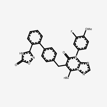 CCCCc1c(Cc2ccc(-c3ccccc3-c3noc(=O)[nH]3)cc2)c(=O)n(-c2ccc(OC)c(F)c2)c2ncnn12